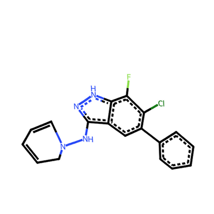 Fc1c(Cl)c(-c2ccccc2)cc2c(NN3C=CC=CC3)n[nH]c12